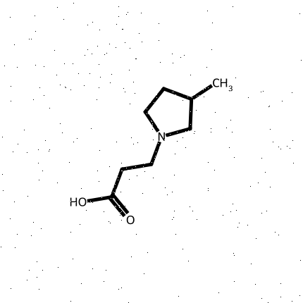 CC1CCN(CCC(=O)O)C1